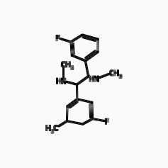 CNC(C1=CC(C)CC(F)=C1)[C@H](NC)c1cccc(F)c1